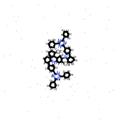 N#Cc1cc(-n2c3ccccc3c3ccc(-c4nc(-c5ccccc5)nc(-c5ccccc5)n4)cc32)c(-c2ccccc2C(F)(F)F)cc1-n1c2ccccc2c2ccc(-c3nc(-c4ccccc4)nc(-c4ccccc4)n3)cc21